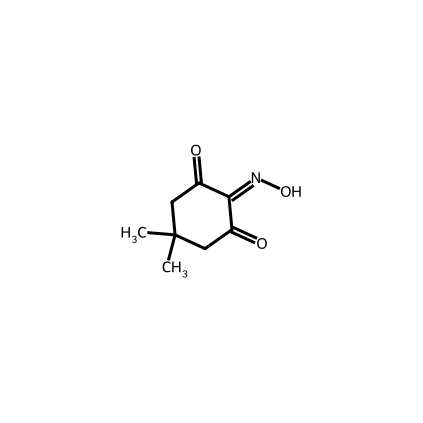 CC1(C)CC(=O)C(=NO)C(=O)C1